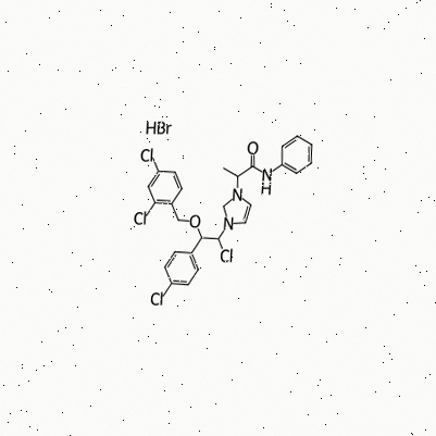 Br.CC(C(=O)Nc1ccccc1)N1C=CN(C(Cl)C(OCc2ccc(Cl)cc2Cl)c2ccc(Cl)cc2)C1